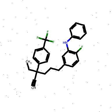 C#CC(CC)(CCCc1ccc(F)c(Nc2ccccc2)c1)c1ccc(C(F)(F)F)cc1